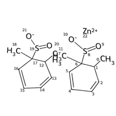 CC1C=CC=CC1(C)S(=O)[O-].CC1C=CC=CC1(C)S(=O)[O-].[Zn+2]